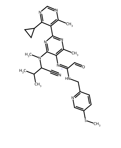 CSc1ccc(CN/C(C=O)=N/c2c(C)nc(-c3c(C)ncnc3C3CC3)nc2N(C)C(C#N)C(C)C)nc1